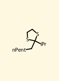 CCCCCCC1(C(C)C)SCCS1